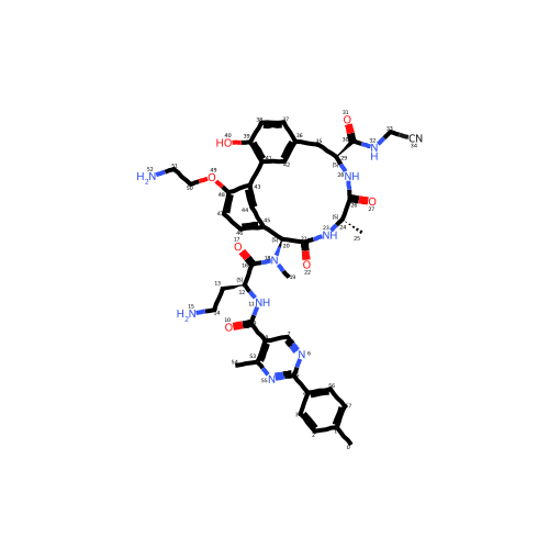 Cc1ccc(-c2ncc(C(=O)N[C@@H](CCN)C(=O)N(C)[C@@H]3C(=O)N[C@@H](C)C(=O)N[C@H](C(=O)NCC#N)Cc4ccc(O)c(c4)-c4cc3ccc4OCCN)c(C)n2)cc1